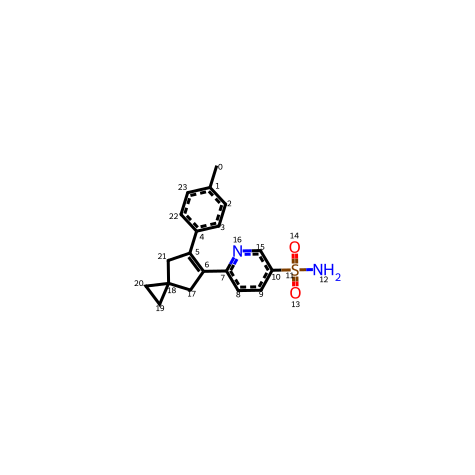 Cc1ccc(C2=C(c3ccc(S(N)(=O)=O)cn3)CC3(CC3)C2)cc1